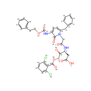 O=C(O)C[C@H](NC(=O)Cn1c(Cc2ccccc2)ccc(NC(=O)OCCc2ccccc2)c1=O)C(=O)COC(=O)c1c(Cl)cccc1Cl